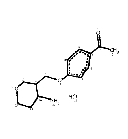 CC(=O)c1ccc(OCC2COCCC2N)cc1.Cl